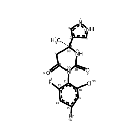 C[C@@]1(c2cn[nH]c2)CC(=O)N(c2c(F)cc(Br)cc2Cl)C(=O)N1